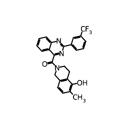 Cc1ccc2c(c1O)CCN(C(=O)c1nc(-c3cccc(C(F)(F)F)c3)nc3ccccc13)C2